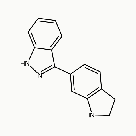 c1ccc2c(-c3ccc4c(c3)NCC4)n[nH]c2c1